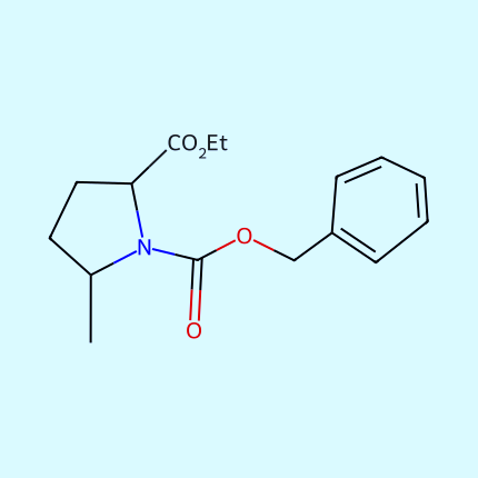 CCOC(=O)C1CCC(C)N1C(=O)OCc1ccccc1